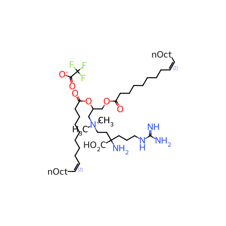 CCCCCCCC/C=C\CCCCCCCC(=O)OCC(C[N+](C)(C)CCC(N)(CCCNC(=N)N)C(=O)O)OC(=O)CCCCCCC/C=C\CCCCCCCC.O=C([O-])C(F)(F)F